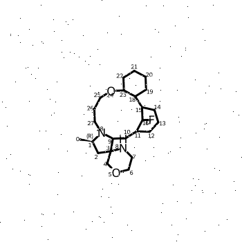 C[C@@H]1CC2(COCCN2)C2CC3CCCC(C3F)C3CCCCC3OCCCN21